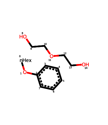 CCCCCCOc1ccccc1.OCCOCCO